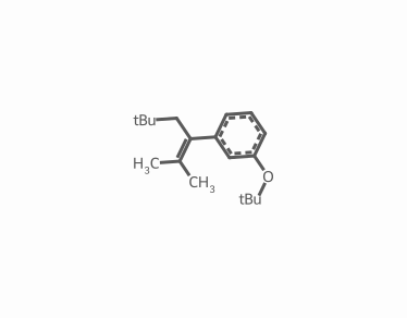 CC(C)=C(CC(C)(C)C)c1cccc(OC(C)(C)C)c1